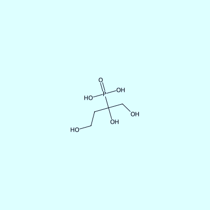 O=P(O)(O)C(O)(CO)CCO